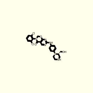 O=C1c2cnc(Nc3ccc(N4CCNC[C@H]4CO)cc3)nc2OCN1c1c(Cl)cccc1Cl